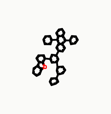 c1ccc(-c2cccc(-c3cc(-c4ccc5c(-c6ccccc6)c6ccccc6c(-c6ccccc6)c5c4)cc(-c4cccc5c4oc4ccccc45)c3)c2)cc1